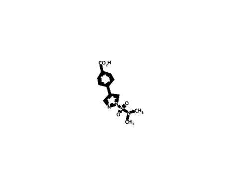 CN(C)S(=O)(=O)n1cc(-c2ccc(C(=O)O)cc2)cn1